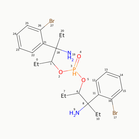 CCC(O[PH](=O)OC(CC)C(N)(CC)c1ccccc1Br)C(N)(CC)c1ccccc1Br